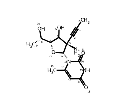 CC#C[C@@]1(N)C(O)[C@@H]([C@H](C)O)O[C@H]1n1c(C)cc(=O)[nH]c1=O